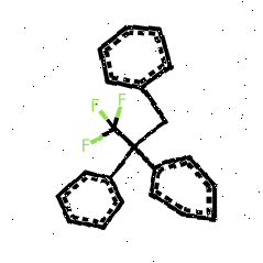 FC(F)(F)C(Cc1ccccc1)(c1ccccc1)c1ccccc1